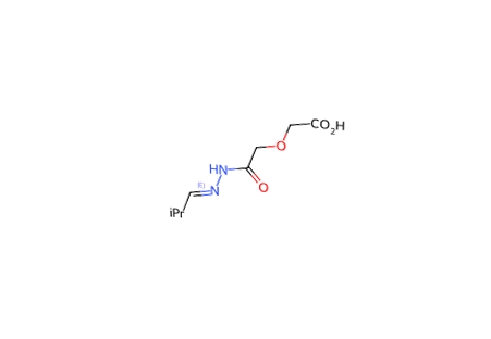 CC(C)/C=N/NC(=O)COCC(=O)O